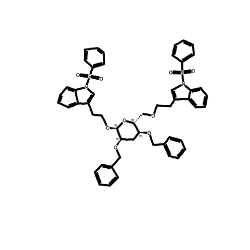 O=S(=O)(c1ccccc1)n1cc(CCOC[C@H]2O[C@H](OCCc3cn(S(=O)(=O)c4ccccc4)c4ccccc34)[C@H](OCc3ccccc3)C[C@@H]2OCc2ccccc2)c2ccccc21